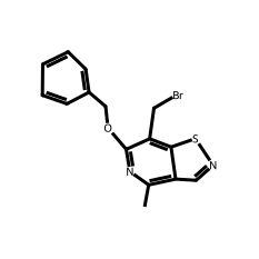 Cc1nc(OCc2ccccc2)c(CBr)c2sncc12